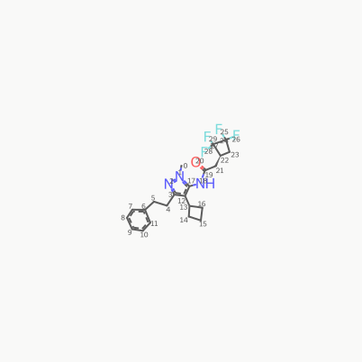 Cn1nc(CCc2ccccc2)c(C2CCC2)c1NC(=O)C[C@@H]1CC(F)(F)C1(F)F